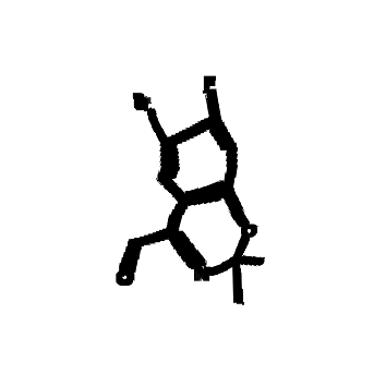 CC1(C)N=C(C=O)c2cc(Br)c(F)cc2O1